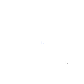 N#Cc1ccc2c3ccccc3n(-c3ccc(I)cc3)c2c1